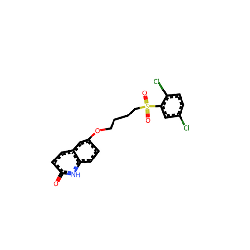 O=c1ccc2cc(OCCCCS(=O)(=O)c3cc(Cl)ccc3Cl)ccc2[nH]1